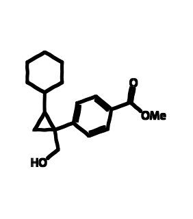 COC(=O)c1ccc(C2(CO)CC2C2CCCCC2)cc1